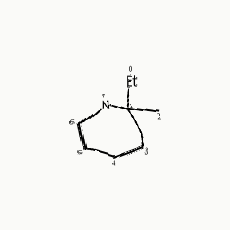 CCC1(C)CCCC[N]1